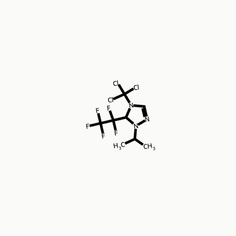 CC(C)N1N=CN(C(Cl)(Cl)Cl)C1C(F)(F)C(F)(F)F